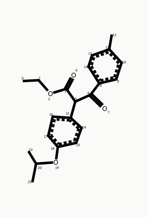 CCOC(=O)C(C(=O)c1ccc(C)cc1)c1ccc(OC(C)C)cc1